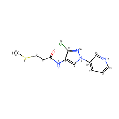 CSCCC(=O)Nc1cn(-c2cccnc2)nc1Cl